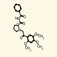 COc1cc(OC)c(C(=O)CN2CCC[C@H]2C(=O)NC(=O)c2ccccc2)cc1OC